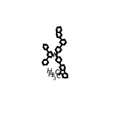 CC1(C)c2ccccc2-c2ccc(-c3ccc(N(c4ccc(-c5cccc(-c6ccc7ccccc7c6)c5)cc4)c4cc(-c5ccccc5)cc(-c5ccccc5)c4)cc3)cc21